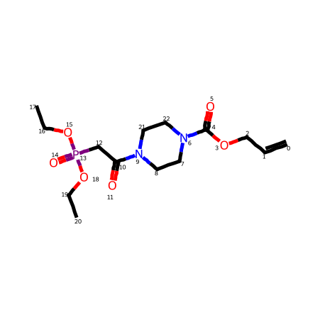 C=CCOC(=O)N1CCN(C(=O)CP(=O)(OCC)OCC)CC1